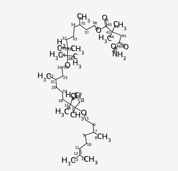 CCC(C)(OCCC(C)CCC=C(C)C)C(C)(C)CCCC(C)CCOC(C)(C)C(C)(C)CCCC(C)CCOC(=O)C(C)(C)CC(=O)ON